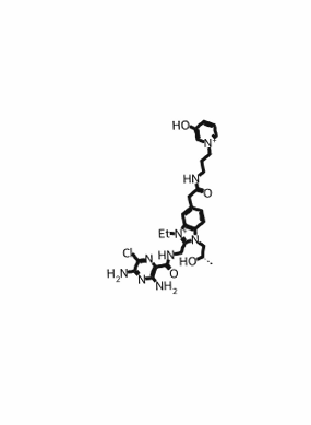 CC[n+]1c(CNC(=O)c2nc(Cl)c(N)nc2N)n(C[C@H](C)O)c2ccc(CC(=O)NCCC[n+]3cccc(O)c3)cc21